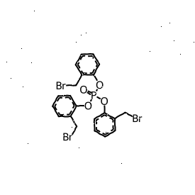 O=P(Oc1ccccc1CBr)(Oc1ccccc1CBr)Oc1ccccc1CBr